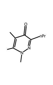 CCCc1nn(C)c(C)c(C)c1=O